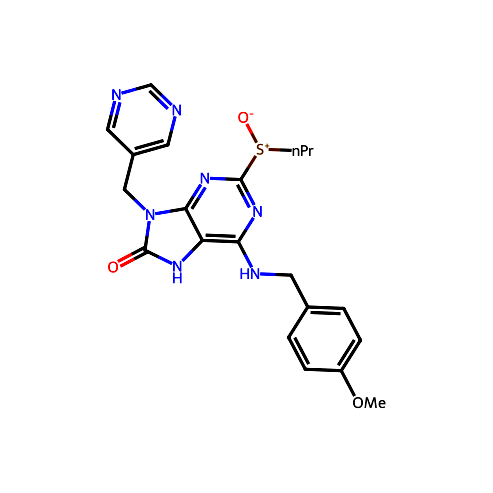 CCC[S+]([O-])c1nc(NCc2ccc(OC)cc2)c2[nH]c(=O)n(Cc3cncnc3)c2n1